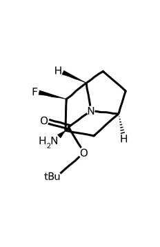 CC(C)(C)OC(=O)N1[C@H]2CC[C@H]1[C@H](F)[C@H](N)C2